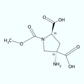 COC(=O)N1C[C@](N)(C(=O)O)C[C@@H]1C(=O)O